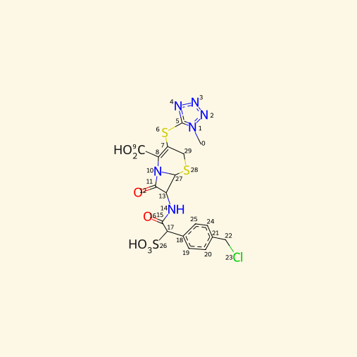 Cn1nnnc1SC1=C(C(=O)O)N2C(=O)C(NC(=O)C(c3ccc(CCl)cc3)S(=O)(=O)O)C2SC1